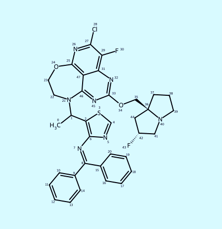 CC(c1scnc1N=C(c1ccccc1)c1ccccc1)N1CCOc2nc(Cl)c(F)c3nc(OC[C@@]45CCCN4C[C@H](F)C5)nc1c23